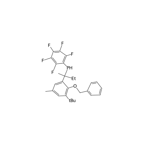 CCC(C)(Pc1c(F)c(F)c(F)c(F)c1F)c1cc(C)cc(C(C)(C)C)c1OCc1ccccc1